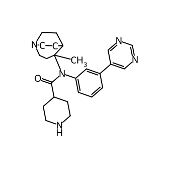 CC1(N(C(=O)C2CCNCC2)c2cccc(-c3cncnc3)c2)CCN2CCC1CC2